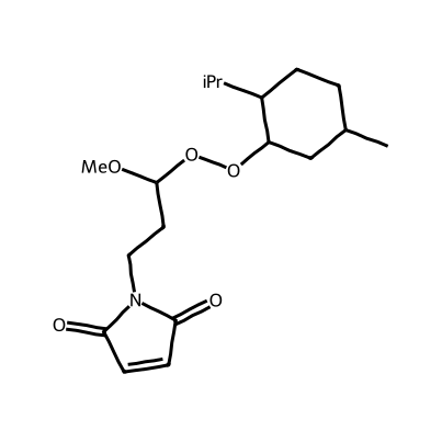 COC(CCN1C(=O)C=CC1=O)OOC1CC(C)CCC1C(C)C